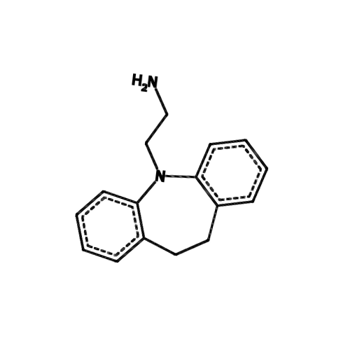 NCCN1c2ccccc2CCc2ccccc21